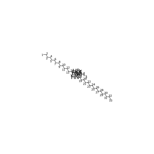 Br.CCCCCCCCCCCCCCCCNCCCCCCCCCCCCCCCC.Cl.N